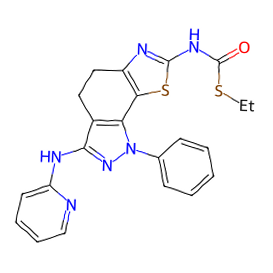 CCSC(=O)Nc1nc2c(s1)-c1c(c(Nc3ccccn3)nn1-c1ccccc1)CC2